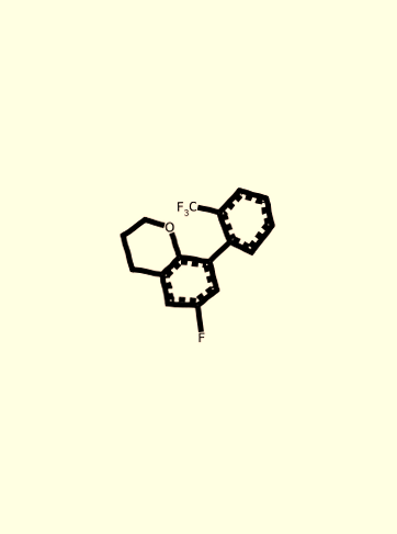 Fc1cc2c(c(-c3ccccc3C(F)(F)F)c1)OCCC2